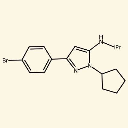 CC(C)Nc1cc(-c2ccc(Br)cc2)nn1C1CCCC1